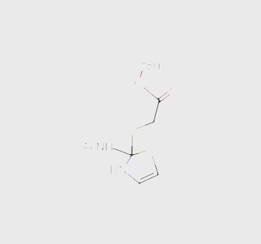 CC(=O)NC1(SCC(=O)OC(C)(C)C)NC=CS1